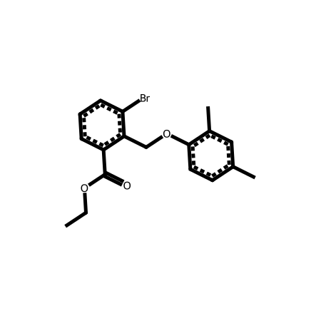 CCOC(=O)c1cccc(Br)c1COc1ccc(C)cc1C